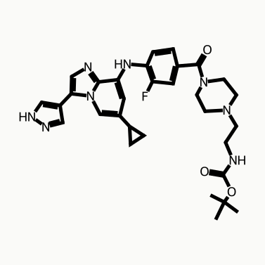 CC(C)(C)OC(=O)NCCN1CCN(C(=O)c2ccc(Nc3cc(C4CC4)cn4c(-c5cn[nH]c5)cnc34)c(F)c2)CC1